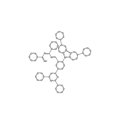 N=C(/N=C(\N=C\c1cc(-c2cc(-c3ccccc3)nc(-c3ccccc3)n2)ccc1-n1c2ccc(-c3ccccc3)cc2c2cc(-c3ccccc3)ccc21)c1ccccc1)c1ccccc1